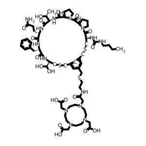 CCCCNC(=O)N[C@H]1CSCc2cc(CSCCNC(=O)CN3CCN(CC(=O)O)CCN(CC(=O)O)CCN(CC(=O)O)CC3)cc(c2)CSC[C@@H](C(O)O)NC(=O)[C@H](Cc2ccccc2)NC(=O)[C@H](CCC(N)=O)NC(=O)[C@H]([C@@H](C)O)NC(=O)[C@@H]2CCCN2C(=O)[C@@H]2CCCN2C1=O